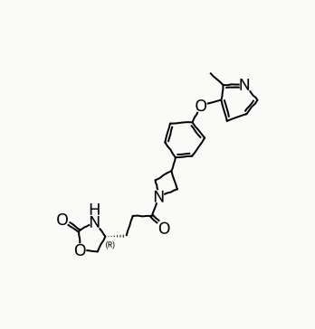 Cc1ncccc1Oc1ccc(C2CN(C(=O)CC[C@@H]3COC(=O)N3)C2)cc1